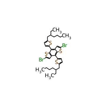 CCCCC(CC)Cc1ccc(-c2c3cc(Br)sc3c(-c3ccc(CC(CC)CCCC)s3)c3cc(Br)sc23)s1